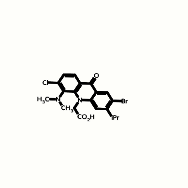 CC(C)c1cc2c(cc1Br)c(=O)c1ccc(Cl)c(N(C)C)c1n2CC(=O)O